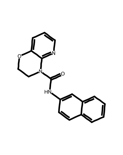 O=C(Nc1ccc2ccccc2c1)N1CCOc2cccnc21